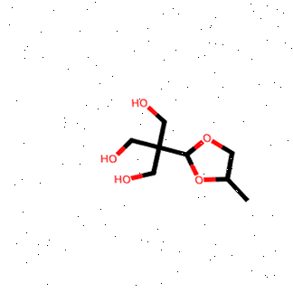 CC1COC(C(CO)(CO)CO)O1